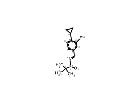 CC(C)(C)[S+]([O-])N=Cc1ccc(C2CC2)c(F)c1